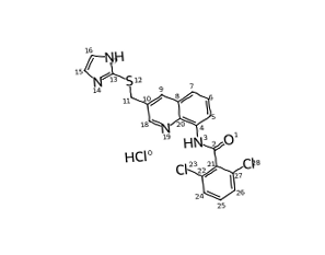 Cl.O=C(Nc1cccc2cc(CSc3ncc[nH]3)cnc12)c1c(Cl)cccc1Cl